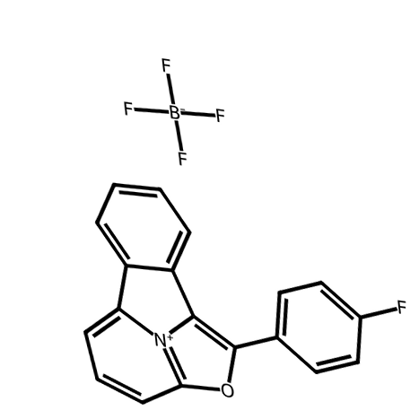 F[B-](F)(F)F.Fc1ccc(-c2oc3cccc4[n+]3c2-c2ccccc2-4)cc1